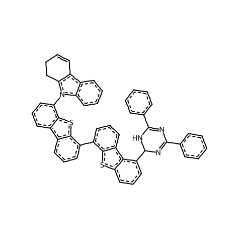 C1=Cc2c(n(-c3cccc4c3sc3c(-c5cccc6c5sc5cccc(C7N=C(c8ccccc8)N=C(c8ccccc8)N7)c56)cccc34)c3ccccc23)CC1